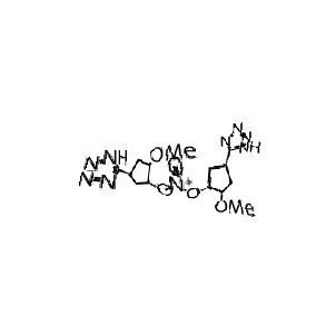 CO[C@@H]1C[C@H](c2nnn[nH]2)C[C@@H]1O[N+](=O)O[C@H]1C[C@@H](c2nnn[nH]2)C[C@H]1OC